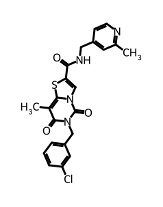 Cc1cc(CNC(=O)c2cn3c(=O)n(Cc4cccc(Cl)c4)c(=O)c(C)c3s2)ccn1